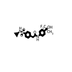 CC(O)(c1ccc(NC(=O)Cc2ccc(S(=O)(=O)NC3CC3)cc2)cc1)C(F)(F)F